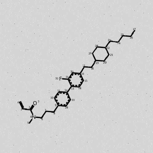 C=CC(=O)N(C)CCCc1ccc(-c2ccc(CCC3CCC(CCCCC)CC3)cc2F)cc1